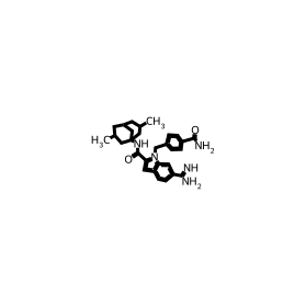 CC1CC2CC(C)CC(NC(=O)c3cc4ccc(C(=N)N)cc4n3Cc3ccc(C(N)=O)cc3)(C1)C2